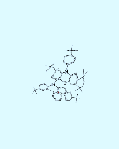 CC(C)(C)c1ccc(N2c3cc4c(cc3B3c5c2cc(C(C)(C)C)cc5N(c2ccc(C(C)(C)C)cc2-c2ccccc2)c2sc5ccc(C(C)(C)C)cc5c23)C(C)(C)CCC4(C)C)cc1